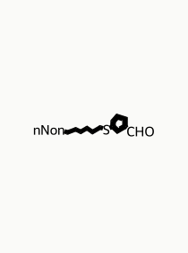 CCCCCCCCCCCCCCCSc1cccc(C=O)c1